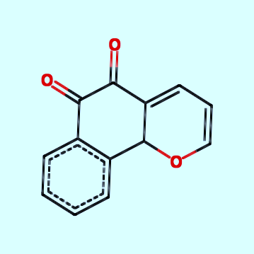 O=C1C(=O)c2ccccc2C2OC=CC=C12